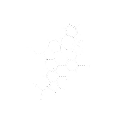 CCOC(=O)CC(c1ccc(C)c(CN2CC3(CCOCC3)Oc3ccc(F)cc3S2(=O)=O)c1)c1ccn2c(C(F)F)nnc2c1C